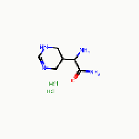 Cl.Cl.NC(=O)C(N)C1CN=CNC1